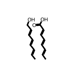 CC=CC=CC=CC(=O)O.CC=CC=CC=CCO